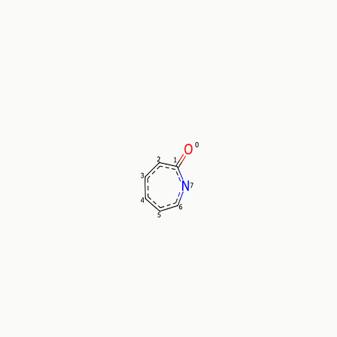 O=c1cccccn1